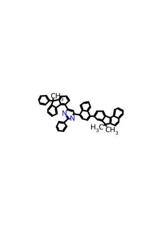 CC1(C)c2cc(-c3ccc(-c4cc(-c5cccc6c5-c5ccccc5C6(C)c5ccccc5)nc(-c5ccccc5)n4)c4ccccc34)ccc2-c2c1ccc1ccccc21